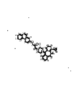 O[C@@H](COc1ccc2c(ccc3ccccc32)c1)CN1CCN(C2c3ccccc3C(F)C(F)c3c(C4CC4)cccc32)CC1